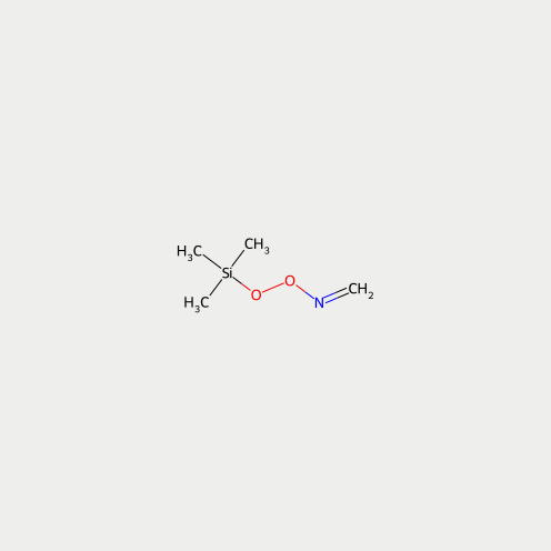 C=NOO[Si](C)(C)C